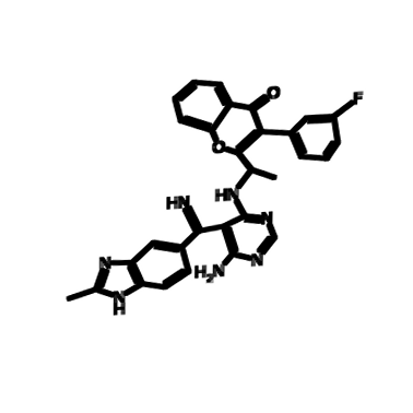 Cc1nc2cc(C(=N)c3c(N)ncnc3NC(C)c3oc4ccccc4c(=O)c3-c3cccc(F)c3)ccc2[nH]1